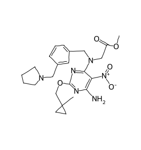 COC(=O)CN(Cc1cccc(CN2CCCC2)c1)c1nc(OCC2(C)CC2)nc(N)c1[N+](=O)[O-]